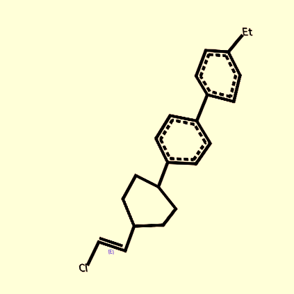 CCc1ccc(-c2ccc(C3CCC(/C=C/Cl)CC3)cc2)cc1